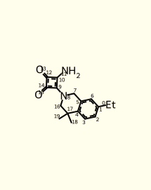 CCc1ccc2c(c1)CN(c1c(N)c(=O)c1=O)CC2(C)C